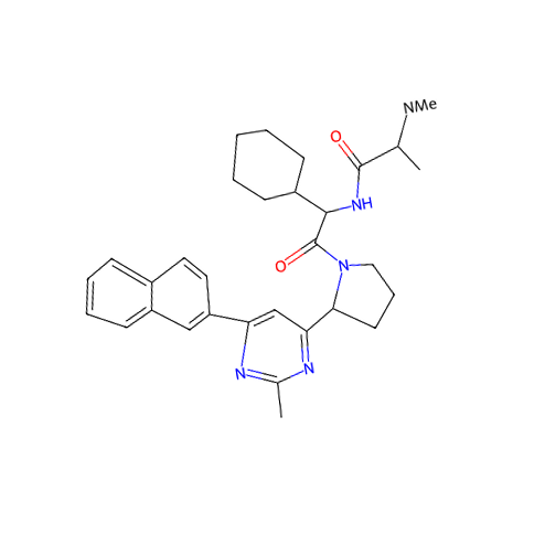 CNC(C)C(=O)NC(C(=O)N1CCCC1c1cc(-c2ccc3ccccc3c2)nc(C)n1)C1CCCCC1